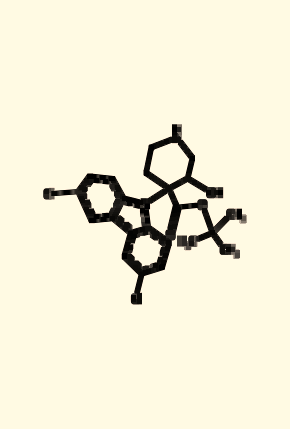 CC(C)(C)OC(=O)C1(n2c3ccc(Cl)cc3c3cc(Cl)ccc32)CCNCC1O